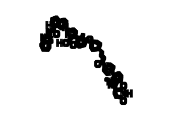 Cc1c(O[C@H]2CC[C@H](CCCC(=O)N3CCN(c4cccc5c(C6CCC(=O)NC6=O)nn(C)c45)CC3)CC2)cccc1-c1ccc(N2CCc3cccc(C(=O)Nc4nc5ccccc5s4)c3C2)nc1C(=O)O